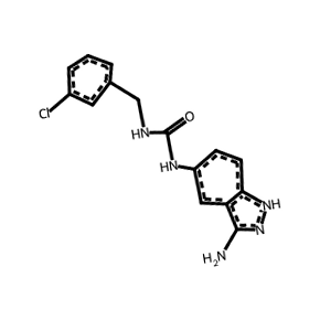 Nc1n[nH]c2ccc(NC(=O)NCc3cccc(Cl)c3)cc12